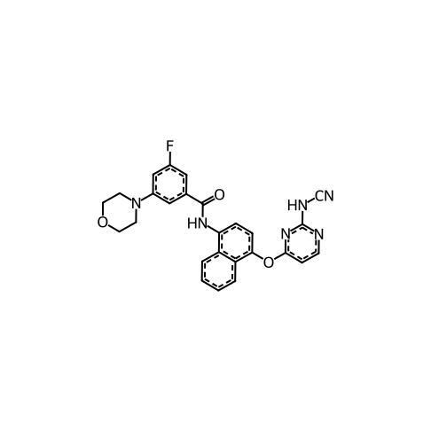 N#CNc1nccc(Oc2ccc(NC(=O)c3cc(F)cc(N4CCOCC4)c3)c3ccccc23)n1